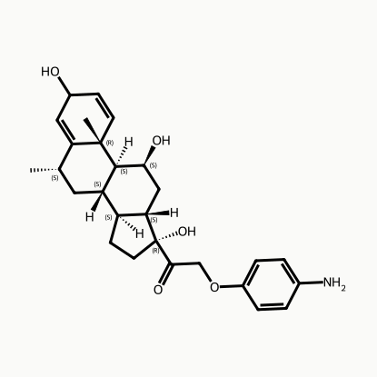 C[C@H]1C[C@H]2[C@@H]3CC[C@](O)(C(=O)COc4ccc(N)cc4)[C@H]3C[C@H](O)[C@@H]2[C@@]2(C)C=CC(O)C=C12